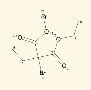 CCOC(=O)C(Br)(CC)C(=O)OBr